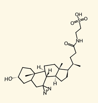 C[C@H](CCC(=O)NCCS(=O)(=O)O)[C@H]1CC[C@H]2[C@H]3[C@H](CC[C@]12C)[C@@]1(C)CC[C@@H](O)CC1CC31N=N1